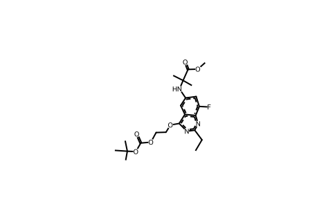 CCc1nc(OCCOC(=O)OC(C)(C)C)c2cc(NC(C)(C)C(=O)OC)cc(F)c2n1